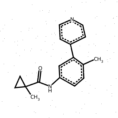 Cc1ccc(NC(=O)C2(C)CC2)cc1-c1ccncc1